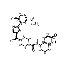 COc1cc(-c2cc(C(=O)N3CCC(C(=O)NC4CCCc5[nH]c(=O)ccc54)CC3)n[nH]2)c(Cl)cn1